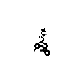 CC(C)(C)OC(=O)NCC(=O)N1CCc2c([nH]c3ccccc23)C1c1cccc(F)c1